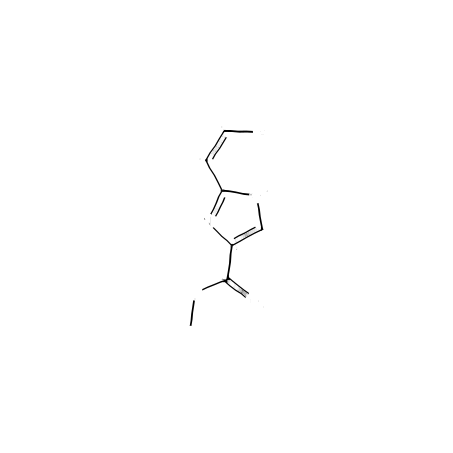 COC(=O)c1coc(/C=C\Br)n1